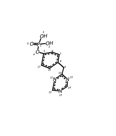 O=P(O)(O)Oc1ccc(Cc2ncncn2)cc1